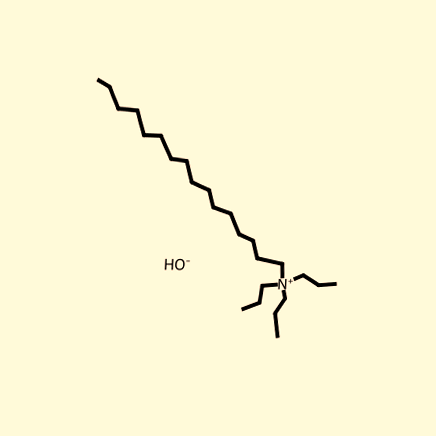 CCCCCCCCCCCCCCCC[N+](CCC)(CCC)CCC.[OH-]